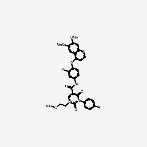 CCCCOCCn1cc(C(=O)Nc2ccc(Oc3ccnc4cc(OC)c(OC)cc34)c(F)c2)c(=O)n(-c2ccc(F)cc2)c1=O